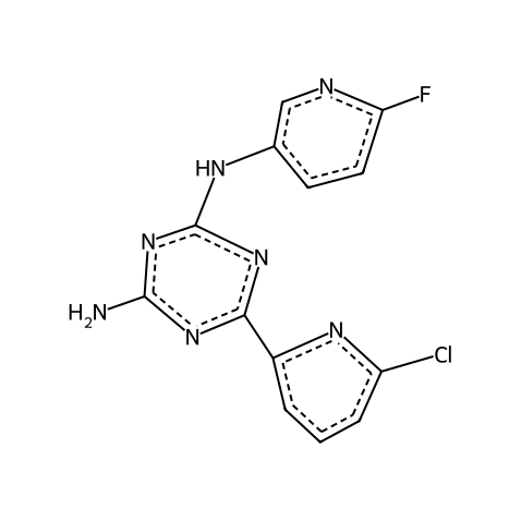 Nc1nc(Nc2ccc(F)nc2)nc(-c2cccc(Cl)n2)n1